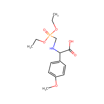 CCOP(=O)(CNC(C(=O)O)c1ccc(OC)cc1)OCC